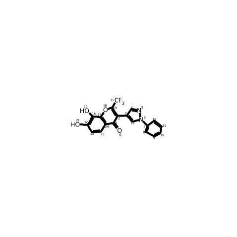 O=c1c(-c2cnn(-c3ccccc3)c2)c(C(F)(F)F)oc2c(O)c(O)ccc12